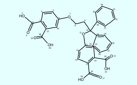 O=C(O)c1ccc(OCCC(Oc2ccc(C(=O)O)c(C(=O)O)c2)(c2ccccc2)c2ccccc2)cc1C(=O)O